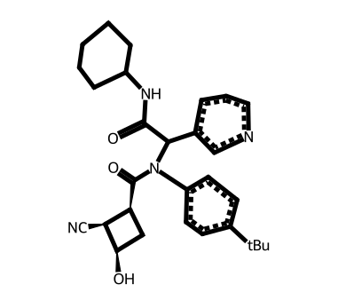 CC(C)(C)c1ccc(N(C(=O)[C@H]2C[C@@H](O)[C@H]2C#N)C(C(=O)NC2CCCCC2)c2cccnc2)cc1